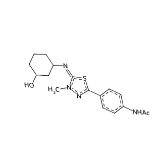 CC(=O)Nc1ccc(-c2nn(C)/c(=N\C3CCCC(O)C3)s2)cc1